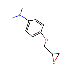 CN(I)c1ccc(OCC2CO2)cc1